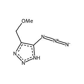 COCc1nn[nH]c1N=[N+]=[N-]